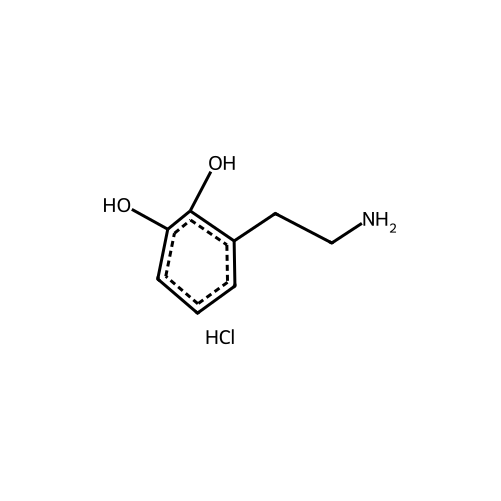 Cl.NCCc1cccc(O)c1O